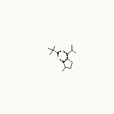 CC(C)c1nc(C(C)(C)C)nc2c1CCC2C